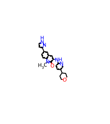 Cn1c(=O)c(Nc2ccc(C3CCOCC3)cn2)cc2cc(-c3cc[nH]n3)ccc21